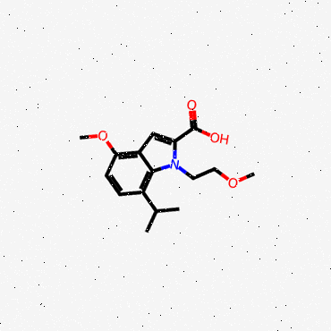 COCCn1c(C(=O)O)cc2c(OC)ccc(C(C)C)c21